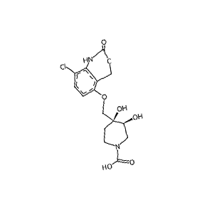 O=C1CCc2c(OC[C@@]3(O)CCN(C(=O)O)C[C@@H]3O)ccc(Cl)c2N1